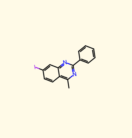 Cc1nc(-c2ccccc2)nc2cc(I)ccc12